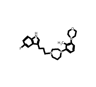 Cc1c(N2CCOCC2)cccc1N1CCCN(CCCc2c[nH]c3ccc(F)cc23)CC1